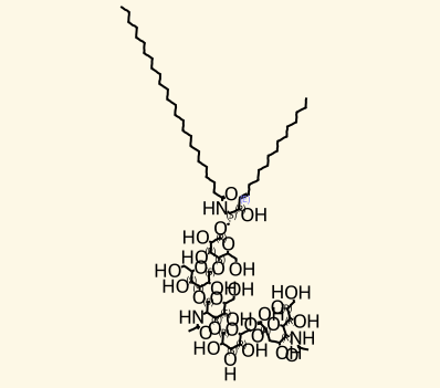 CCCCCCCCCCCCC/C=C/[C@@H](O)[C@H](CO[C@@H]1OC(CO)[C@@H](O[C@@H]2OC(CO)[C@H](O)[C@H](O[C@@H]3OC(CO)[C@@H](O)[C@H](O[C@@H]4OC(CO[C@]5(C(=O)O)CC(O)[C@@H](NC(C)=O)C([C@H](O)[C@H](O)CO)O5)[C@H](O)[C@H](O)C4O)C3NC(C)=O)C2O)[C@H](O)C1O)NC(=O)CCCCCCCCCCCCCCCCCCCCCCCCC